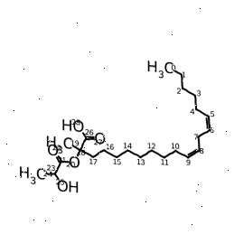 CCCCC/C=C\C/C=C\CCCCCCCCC(C)(OC(=O)C(C)O)C(=O)O